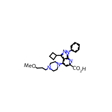 COCCCN1CCN(c2cc(C(=O)O)nc3c2c(C2CCC2)nn3-c2ccccc2)CC1